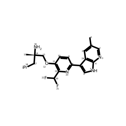 Cc1cnc2[nH]cc(-c3ccc(OC[C@@](C)(N)CC(C)C)c(C(F)F)n3)c2c1